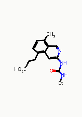 CCNC(=O)Nc1cc2c(CCC(=O)O)ccc(C)c2cn1